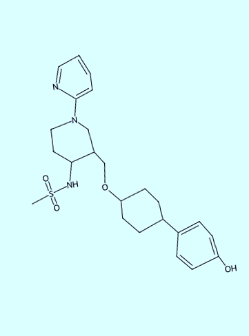 CS(=O)(=O)NC1CCN(c2ccccn2)CC1COC1CCC(c2ccc(O)cc2)CC1